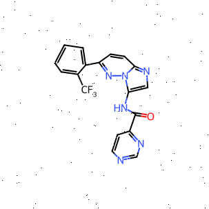 O=C(Nc1cnc2ccc(-c3ccccc3C(F)(F)F)nn12)c1ccncn1